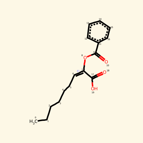 CCCCCC/C=C(/OC(=O)c1ccccc1)C(=O)O